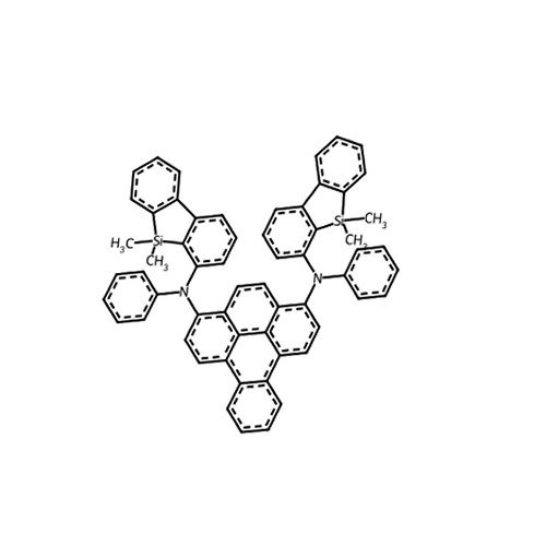 C[Si]1(C)c2ccccc2-c2cccc(N(c3ccccc3)c3ccc4c5ccccc5c5ccc(N(c6ccccc6)c6cccc7c6[Si](C)(C)c6ccccc6-7)c6ccc3c4c65)c21